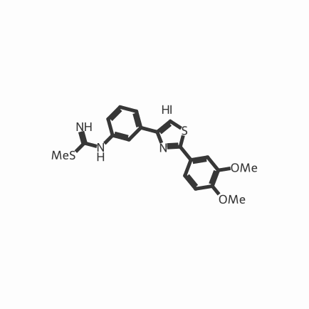 COc1ccc(-c2nc(-c3cccc(NC(=N)SC)c3)cs2)cc1OC.I